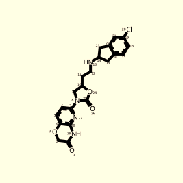 O=C1COc2ccc(N3CC(CCNC4Cc5ccc(Cl)cc5C4)OC3=O)nc2N1